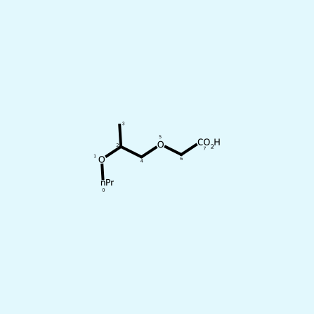 CCCOC(C)COCC(=O)O